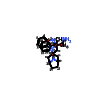 Cc1nc2ccccc2n1C1CC2CCC(C1)N2CCC(C)(CN)c1ccccc1